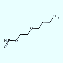 CCCCOCCO[PH2]=O